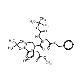 COC(=O)C[C@]1(C=C=O)C(=O)N(OC(C)(C)C)CCN1C(=O)[C@H](CC(=O)OCc1ccccc1)NC(=O)OC(C)(C)C